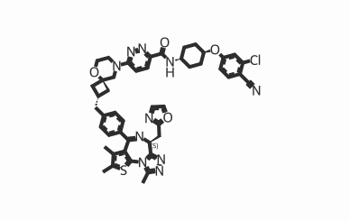 Cc1sc2c(c1C)C(c1ccc(C[C@H]3C[C@@]4(CN(c5ccc(C(=O)N[C@H]6CC[C@H](Oc7ccc(C#N)c(Cl)c7)CC6)nn5)CCO4)C3)cc1)=N[C@@H](Cc1ncco1)c1nnc(C)n1-2